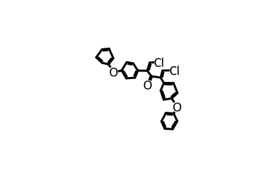 O=C(C(=CCl)c1ccc(Oc2ccccc2)cc1)C(=CCl)c1ccc(Oc2ccccc2)cc1